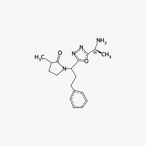 CC1CCN(C(CCc2ccccc2)c2nnc([C@H](C)N)o2)C1=O